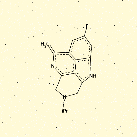 C=c1nc2c3c([nH]c4cc(F)cc1c43)CN(C(C)C)C2